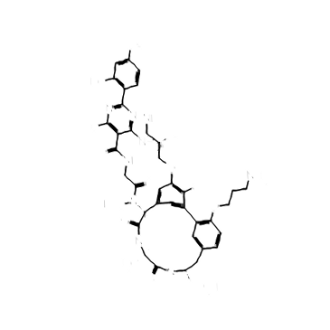 Cc1cc(C(C)(C)C)ccc1-c1nc(C)c(C(=O)NCC(=O)N(C)[C@@H]2C(=O)N[C@@H](C)C(=O)N[C@H](C(=O)O)Cc3ccc(OCCCN)c(c3)-c3cc2cc(OC[C@H](O)CN)c3O)c(N)n1